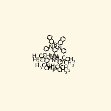 CC(C)(C)c1cc(-c2nc(-c3cc(C(C)(C)C)cc(C(C)(C)C)c3)nc(-c3cc4c5c(c3)N(c3ccccc3)c3cc6ccccc6cc3B5c3cc5ccccc5cc3N4c3ccccc3)n2)cc(C(C)(C)C)c1